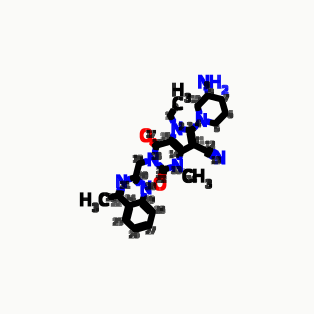 CCn1c(N2CCC[C@@H](N)C2)c(C#N)c2c1c(=O)n(Cc1nc(C)c3ccccc3n1)c(=O)n2C